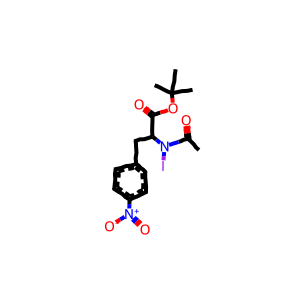 CC(=O)N(I)C(Cc1ccc([N+](=O)[O-])cc1)C(=O)OC(C)(C)C